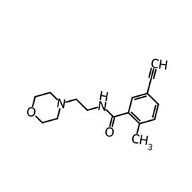 C#Cc1ccc(C)c(C(=O)NCCN2CCOCC2)c1